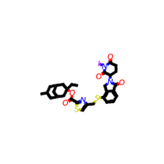 CCC1(OC(=O)c2nc(CSc3cccc4c3CN(C3CCC(=O)N(I)C3=O)C4=O)cs2)CC2CC(C)CC(C2)C1